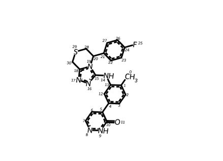 Cc1ccc(-c2ccn[nH]c2=O)cc1Nc1nnc2n1C(c1ccc(F)cc1)CSC2